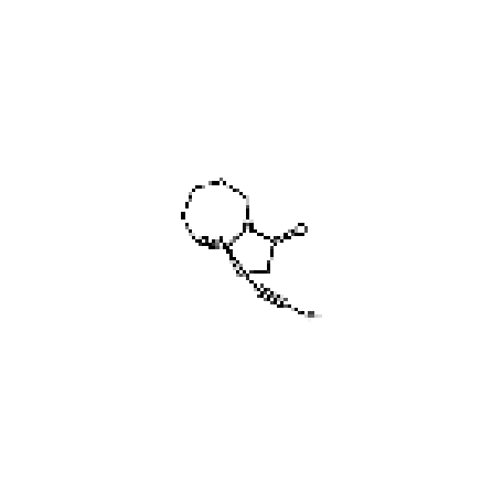 CCC#CC1=CCC2CCCCN3C(=O)CCC123